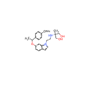 COc1ccc(C(C)Oc2ccc3ccn(CCNC(C)(CO)CO)c3c2)cc1